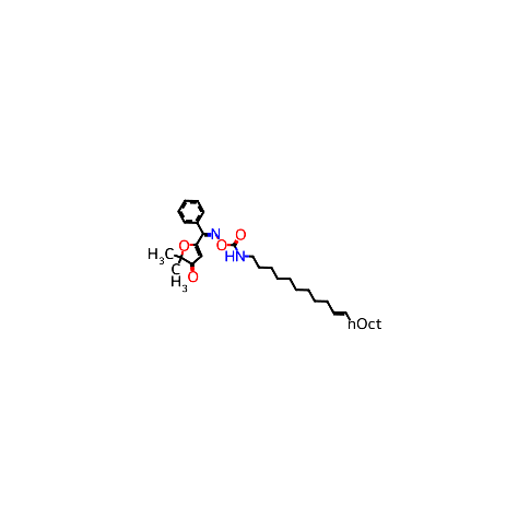 CCCCCCCCC=CCCCCCCCCCNC(=O)ON=C(C1=CC(=O)C(C)(C)O1)c1ccccc1